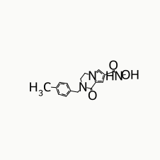 Cc1ccc(CN2CCn3cc(C(=O)NO)cc3C2=O)cc1